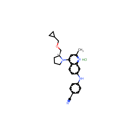 Cc1cc(N2CCC[C@H]2COCC2CC2)c2ccc(Nc3ccc(C#N)cc3)cc2n1.Cl